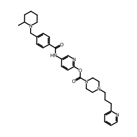 CC1CCCCN1Cc1ccc(C(=O)Nc2ccc(OC(=O)N3CCN(CCCc4ccccn4)CC3)nc2)cc1